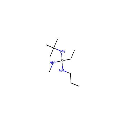 CCCN[Si](CC)(NC)NC(C)(C)C